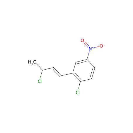 CC(Cl)C=Cc1cc([N+](=O)[O-])ccc1Cl